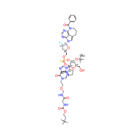 CC(=O)N1CCC[C@@H]1CO[P@@](=S)(OC[C@H]1C[C@@H](F)[C@H](n2cc3c4c(ncnc42)N(C(=O)c2ccccc2)CCC3)O1)O[C@@H]1[C@H](O[Si](C)(C)C(C)(C)C)[C@@H](CO)O[C@H]1n1cnc2c(=O)n(CCOCNC(=O)CNC(=O)OCC[Si](C)(C)C)cnc21